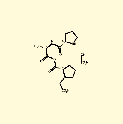 C[C@H](NC(=O)[C@@H]1CCCN1)C(=O)OC(=O)[C@@H]1CCCN1CC(=O)O.O=S(=O)(O)O